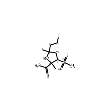 CC1(CCF)NC(C)(C(N)=O)C(S(N)(=O)=O)S1